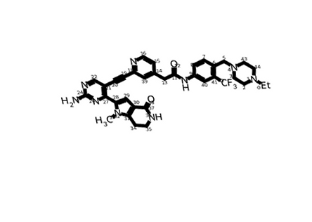 CCN1CCN(Cc2ccc(NC(=O)Cc3ccnc(C#Cc4cnc(N)nc4-c4cc5c(n4C)CCNC5=O)c3)cc2C(F)(F)F)CC1